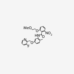 COCCOc1cccc([N+](=O)[O-])c1C(=O)Nc1cc(OCc2ncccc2F)ccc1C